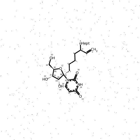 C=CC(CCCCCCC)CCCC[C@@]1(n2ccc(=O)[nH]c2=O)O[C@H](CO)[C@@H](O)[C@H]1O